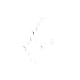 CCCCCCCCCCCCCCCC(=O)OCC(COC(=O)CCCCCCCCCCCCCCC)OCOCC(C[N+](C)(C)C)OC(=O)CC